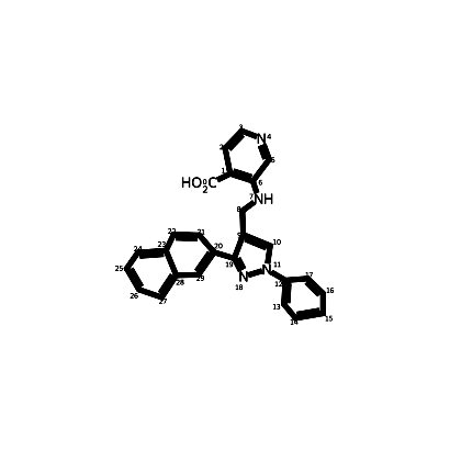 O=C(O)c1ccncc1NCc1cn(-c2ccccc2)nc1-c1ccc2ccccc2c1